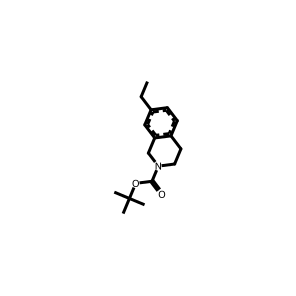 CCc1ccc2c(c1)CN(C(=O)OC(C)(C)C)CC2